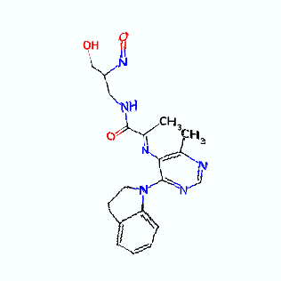 C/C(=N\c1c(C)ncnc1N1CCc2ccccc21)C(=O)NCC(CO)N=O